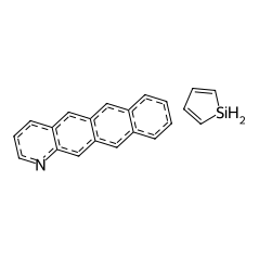 C1=C[SiH2]C=C1.c1ccc2cc3cc4ncccc4cc3cc2c1